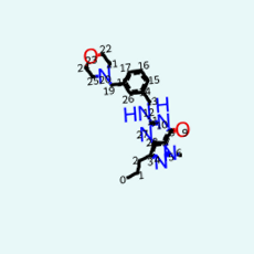 CCCc1nn(C)c2c(=O)[nH]c(NCc3cccc(CN4CCOCC4)c3)nc12